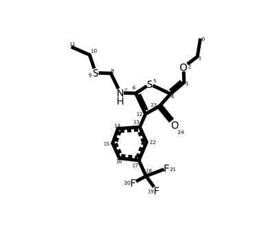 CCO/C=C1\SC(NCSCC)=C(c2cccc(C(F)(F)F)c2)C1=O